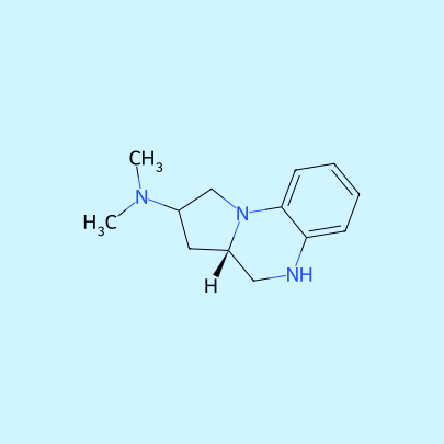 CN(C)C1C[C@H]2CNc3ccccc3N2C1